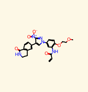 C=CC(=O)Nc1cc(-n2cc(-c3ccc4c(c3)CCNC4=O)c([N+](=O)[O-])n2)ccc1OCCOC